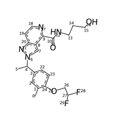 Cc1cc(C(C)n2cc3c(C(=O)NCCCO)nccc3n2)ccc1OCC(F)F